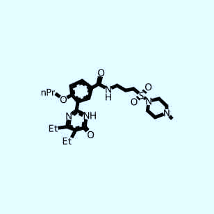 CCCOc1ccc(C(=O)NCCCS(=O)(=O)N2CCN(C)CC2)cc1-c1nc(CC)c(CC)c(=O)[nH]1